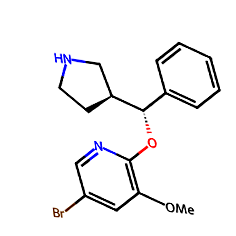 COc1cc(Br)cnc1O[C@@H](c1ccccc1)[C@H]1CCNC1